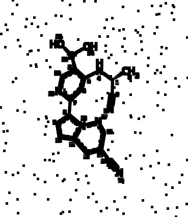 C[C@H](C#N)Nc1cc(-c2ccc3cc(C#N)cnn23)ncc1B(O)O